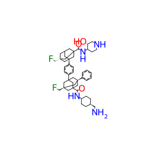 NC[C@H]1CC[C@@H](NC(=O)C23CC4(c5ccc([C@]67CC8CC(C(=O)N[C@@H]9CCNC[C@H]9O)(C[C@](CF)(C8)C6)C7)cc5)C[C@@](CF)(C2)C[C@@](c2ccccc2)(C3)C4)CC1